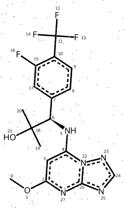 COc1cc(N[C@H](c2ccc(C(F)(F)F)c(F)c2)C(C)(C)O)n2ncnc2n1